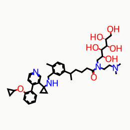 Cc1ccc(C(C)CCCC(=O)N(CCN(C)C)C[C@H](O)[C@@H](O)[C@H](O)[C@H](O)CO)cc1CNC1(c2cnccc2-c2ccccc2OC2CC2)CC1